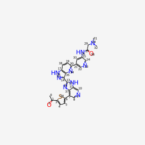 CC(=O)c1ccc(-c2cncc3[nH]c(-c4n[nH]c5ccc(-c6cncc(NC(=O)CN(C)C)c6)nc45)nc23)s1